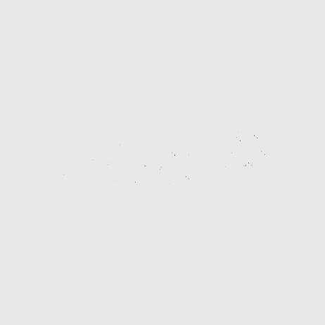 c1ccc(-c2ccc(-c3cn4ccc(-c5nnn[nH]5)cc4n3)cc2)cc1